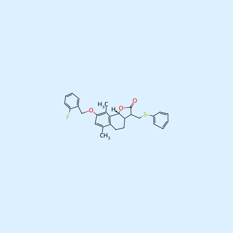 Cc1cc(OCc2ccccc2F)c(C)c2c1CCC1C(CSc3ccccc3)C(=O)O[C@@H]21